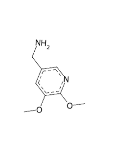 COc1cc(CN)cnc1OC